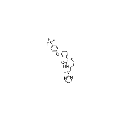 O=C1N[C@H](CNc2ncccn2)CCS[C@@H]1c1cccc(Oc2ccc(C(F)(F)F)cc2)c1